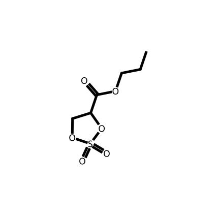 CCCOC(=O)C1COS(=O)(=O)O1